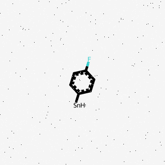 Fc1cc[c]([SnH])cc1